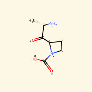 C[C@H](N)C(=O)C1CCN1C(=O)O